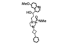 CNC(=O)[C@H]1CN(C2CC(c3ccccc3)C2)CC[C@H]1CCC(O)c1ccnc2ccc(OC)cc12